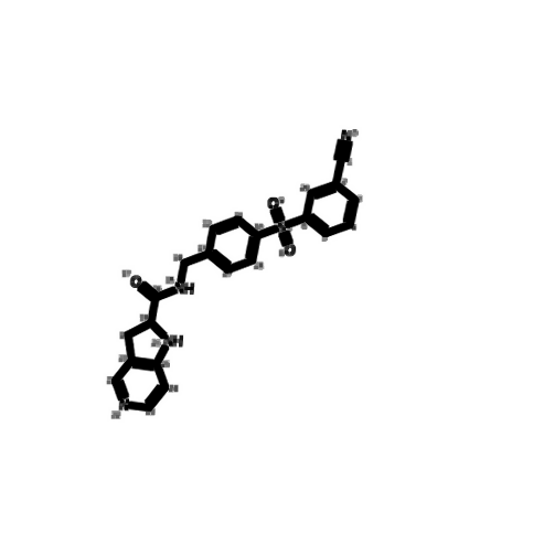 N#Cc1cccc(S(=O)(=O)c2ccc(CNC(=O)C3Cc4cnccc4N3)cc2)c1